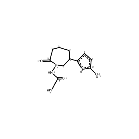 CCCC(=O)NN1CC(c2ccc(C)s2)CCCC1=O